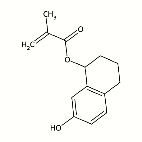 C=C(C)C(=O)OC1CCCc2ccc(O)cc21